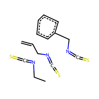 C=CCN=C=S.CCN=C=S.S=C=NCc1ccccc1